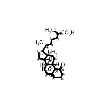 CC(CCC[C@@H](C)[C@H]1CC[C@H]2[C@@H]3CCC4=CCCC(=O)[C@]4(C)[C@H]3CC[C@]12C)C(=O)O